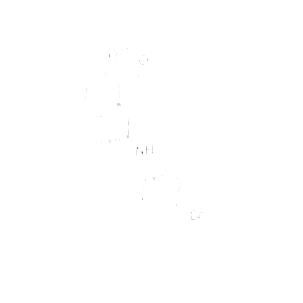 O=C(Cc1cccc2c1COCO2)NCc1ccc(Br)cc1